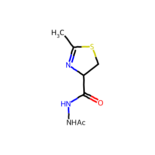 CC(=O)NNC(=O)C1CSC(C)=N1